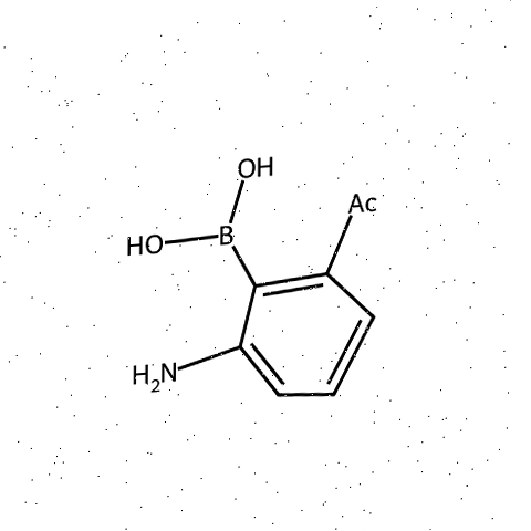 CC(=O)c1cccc(N)c1B(O)O